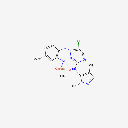 COc1ccc(Nc2nc(Nc3c(C)cnn3C)ncc2Cl)c(NS(C)(=O)=O)c1